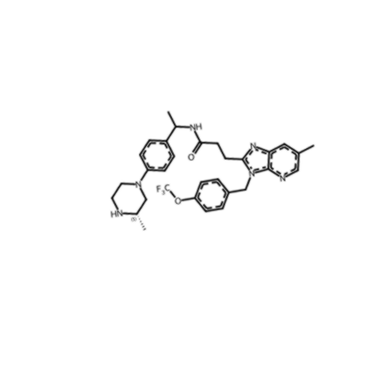 Cc1cnc2c(c1)nc(CCC(=O)NC(C)c1ccc(N3CCN[C@@H](C)C3)cc1)n2Cc1ccc(OC(F)(F)F)cc1